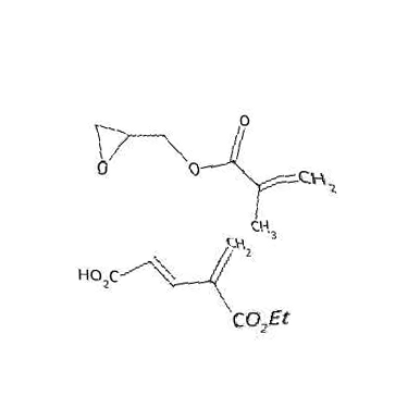 C=C(C)C(=O)OCC1CO1.C=C(C=CC(=O)O)C(=O)OCC